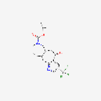 CC(C)(C)OC(=O)N1CCCC2Cc3ncc(C(F)(F)F)cc3C(=O)CC2C1